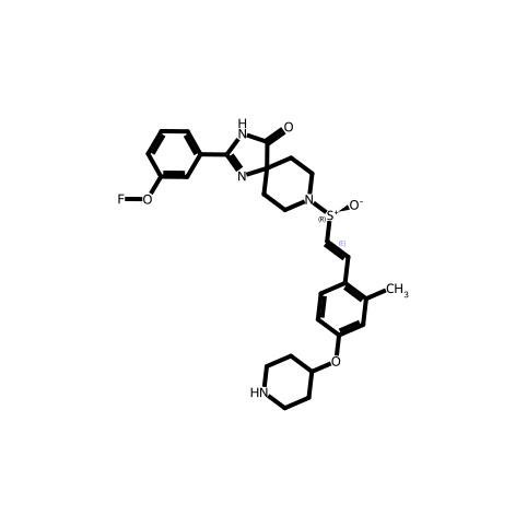 Cc1cc(OC2CCNCC2)ccc1/C=C/[S@+]([O-])N1CCC2(CC1)N=C(c1cccc(OF)c1)NC2=O